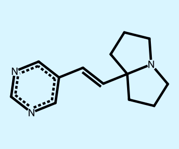 C(=C\C12CCCN1CCC2)/c1cncnc1